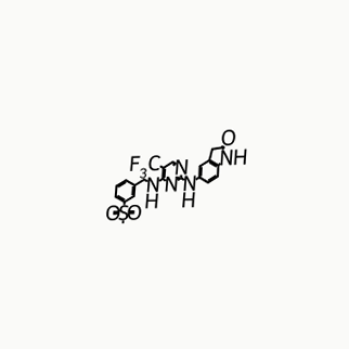 CS(=O)(=O)c1cccc(CNc2nc(Nc3ccc4c(c3)CC(=O)N4)ncc2C(F)(F)F)c1